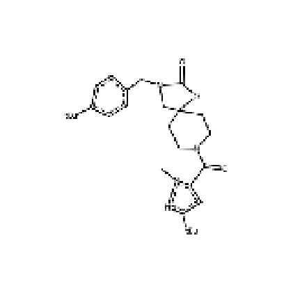 Cn1nc(C(C)(C)C)cc1C(=O)N1CCC2(CC1)CN(Cc1ccc(C(C)(C)C)cc1)C(=O)O2